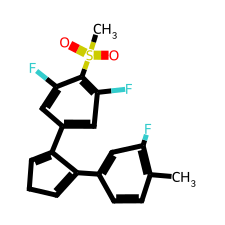 Cc1ccc(C2=CCC=C2c2cc(F)c(S(C)(=O)=O)c(F)c2)cc1F